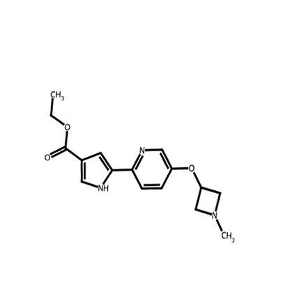 CCOC(=O)c1c[nH]c(-c2ccc(OC3CN(C)C3)cn2)c1